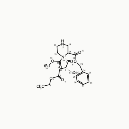 CCCCCCCCCC[C@H](CC(=O)OCC(Cl)(Cl)Cl)C(=O)[N@+]1(C(=O)OC(C)(C)C)CCNCC1C(=O)OCc1ccccc1